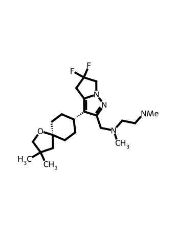 CNCCN(C)Cc1nn2c(c1[C@H]1CC[C@]3(CC1)CC(C)(C)CO3)CC(F)(F)C2